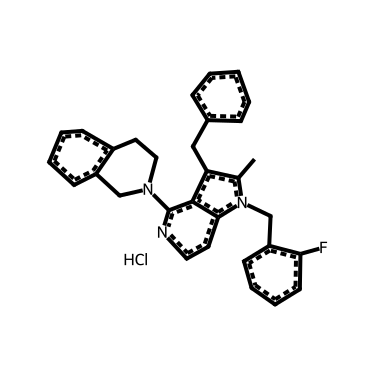 Cc1c(Cc2ccccc2)c2c(N3CCc4ccccc4C3)nccc2n1Cc1ccccc1F.Cl